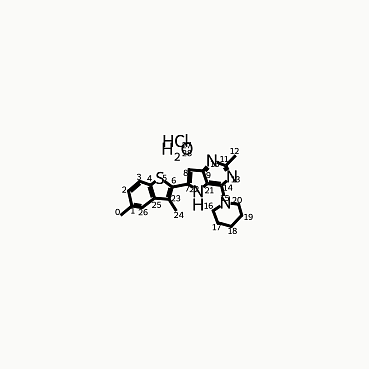 Cc1ccc2sc(-c3cc4nc(C)nc(N5CCCCC5)c4[nH]3)c(C)c2c1.Cl.O